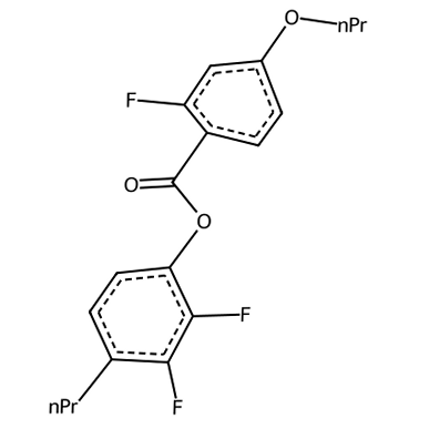 CCCOc1ccc(C(=O)Oc2ccc(CCC)c(F)c2F)c(F)c1